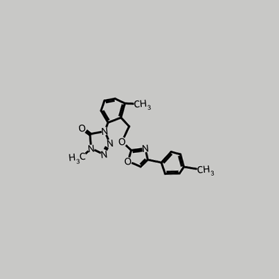 Cc1ccc(-c2coc(OCc3c(C)cccc3-n3nnn(C)c3=O)n2)cc1